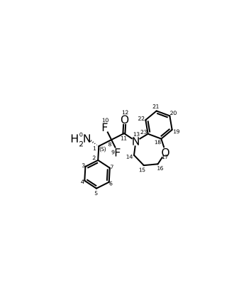 N[C@@H](c1ccccc1)C(F)(F)C(=O)N1CCCOc2ccccc21